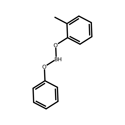 Cc1ccccc1OBOc1ccccc1